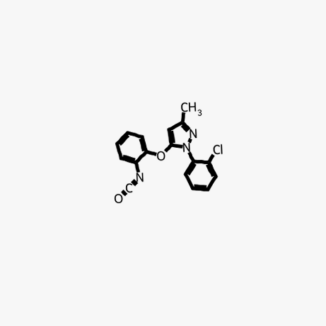 Cc1cc(Oc2ccccc2N=C=O)n(-c2ccccc2Cl)n1